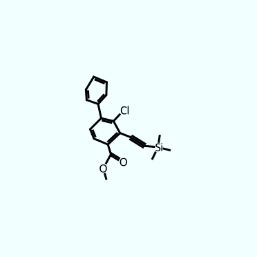 COC(=O)c1ccc(-c2ccccc2)c(Cl)c1C#C[Si](C)(C)C